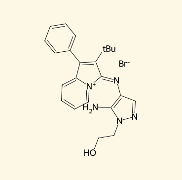 CC(C)(C)C1=C(c2ccccc2)c2cccc[n+]2C1=Nc1cnn(CCO)c1N.[Br-]